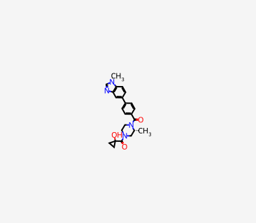 C[C@@H]1CN(C(=O)C2(O)CC2)CCN1C(=O)c1ccc(-c2ccc3c(c2)ncn3C)cc1